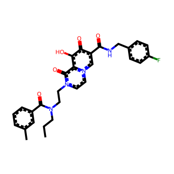 CCCN(CCn1ccn2cc(C(=O)NCc3ccc(F)cc3)c(=O)c(O)c2c1=O)C(=O)c1cccc(C)c1